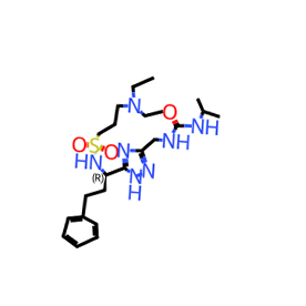 CCN(CC)CCCS(=O)(=O)N[C@H](CCc1ccccc1)c1nc(CNC(=O)NC(C)C)n[nH]1